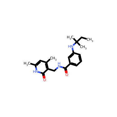 CCC(C)(C)Nc1cccc(C(=O)NCc2c(C)cc(C)[nH]c2=O)c1